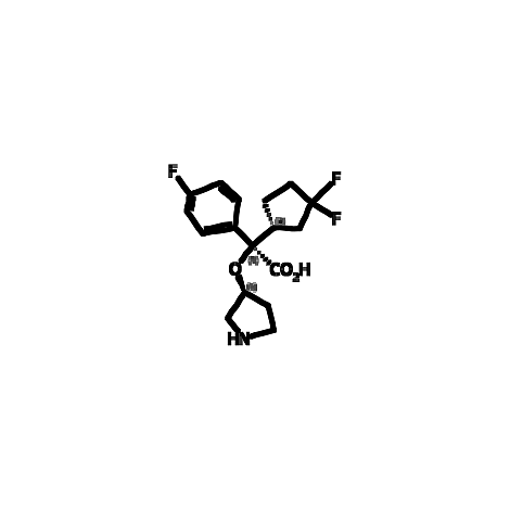 O=C(O)[C@](O[C@H]1CCNC1)(c1ccc(F)cc1)[C@@H]1CCC(F)(F)C1